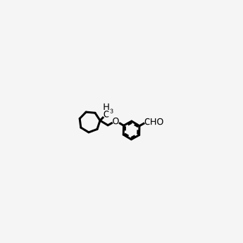 CC1(COc2cccc(C=O)c2)CCCCCC1